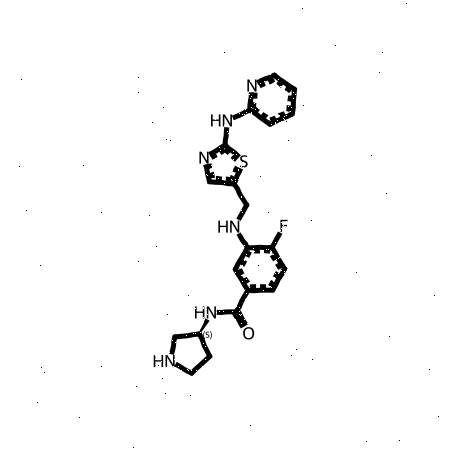 O=C(N[C@H]1CCNC1)c1ccc(F)c(NCc2cnc(Nc3ccccn3)s2)c1